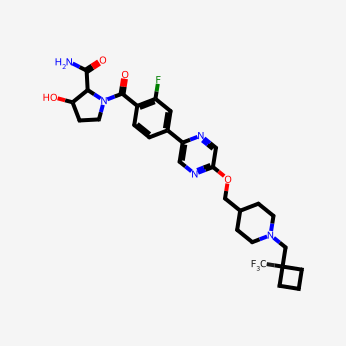 NC(=O)C1C(O)CCN1C(=O)c1ccc(-c2cnc(OCC3CCN(CC4(C(F)(F)F)CCC4)CC3)cn2)cc1F